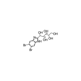 OCC(O)[C@@H](O)[C@H](O)C(O)c1nc2cc(Br)c(Br)cc2[nH]1